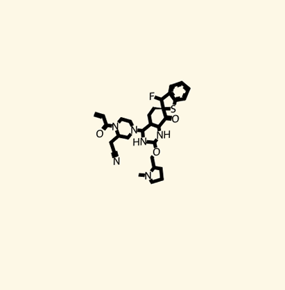 C=CC(=O)N1CCN(C2NC(OCC3CCCN3C)NC3C(=O)[C@@]4(CCC32)Sc2ccccc2C4F)CC1CC#N